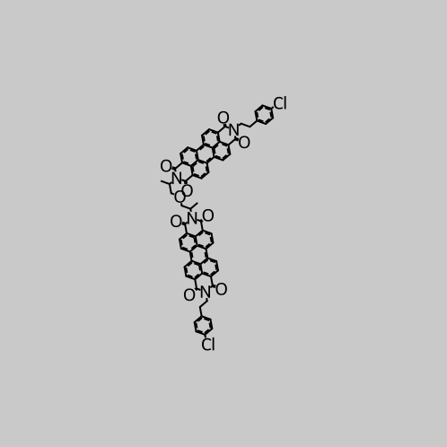 CC(COCC(C)N1C(=O)c2ccc3c4ccc5c6c(ccc(c7ccc(c2c37)C1=O)c64)C(=O)N(CCc1ccc(Cl)cc1)C5=O)N1C(=O)c2ccc3c4ccc5c6c(ccc(c7ccc(c2c37)C1=O)c64)C(=O)N(CCc1ccc(Cl)cc1)C5=O